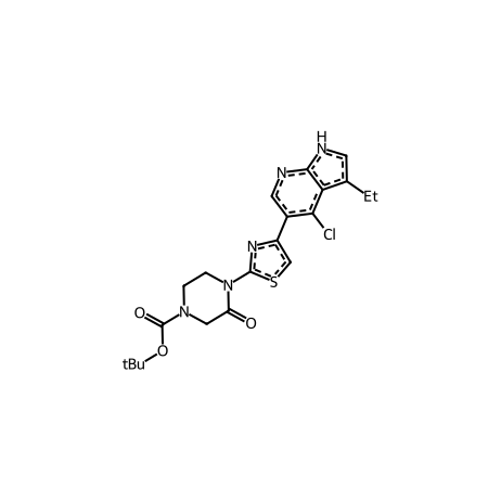 CCc1c[nH]c2ncc(-c3csc(N4CCN(C(=O)OC(C)(C)C)CC4=O)n3)c(Cl)c12